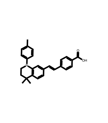 Cc1ccc(N2CCC(C)(C)c3ccc(/C=C/c4ccc(C(=O)O)cc4)cc32)cc1